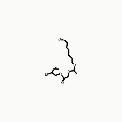 CCCCCCCCCCCCCCCCOC(C)SCC(=O)OCC(CC)CCCC